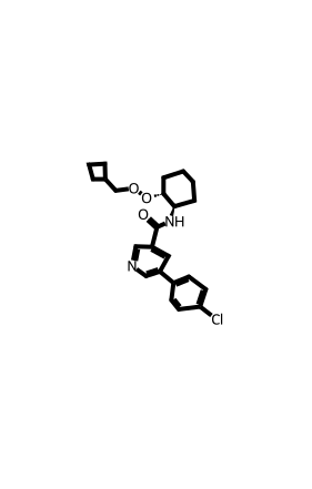 O=C(N[C@@H]1CCCC[C@H]1OOCC1CCC1)c1cncc(-c2ccc(Cl)cc2)c1